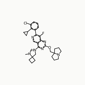 CN(C)C1(CNc2nc(OCC34CCCN3CCC4)nc3c(F)c(-c4cccc(Cl)c4C4CC4)ncc23)CCC1